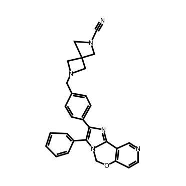 N#CN1CC2(C1)CN(Cc1ccc(-c3nc4n(c3-c3ccccc3)COc3ccncc3-4)cc1)C2